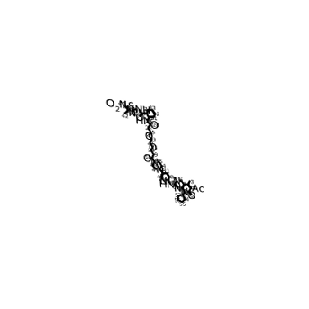 CC(=O)c1c(C)c2cnc(Nc3ccc(N4CCN(C(=O)CCOCCOCCC(=O)Nc5ccccc5C(=O)Nc5nc(C)c([N+](=O)[O-])s5)CC4)cn3)nc2n(C2CCCC2)c1=O